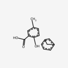 Cc1ccc(O)c(C(=O)O)c1.c1cc2cc(c1)C2